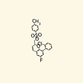 Cc1ccc(S(=O)(=O)OCC2C=Cc3cc(F)cc(-c4ccccc4Cl)c3O2)cc1